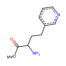 COC(=O)C(N)CCc1cccnc1